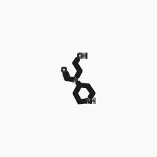 O=[C]N(CCO)C1CCNCC1